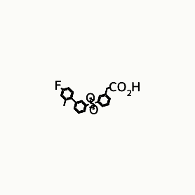 Cc1cc(F)ccc1-c1cccc(S(=O)(=O)c2cccc(CC(=O)O)c2)c1